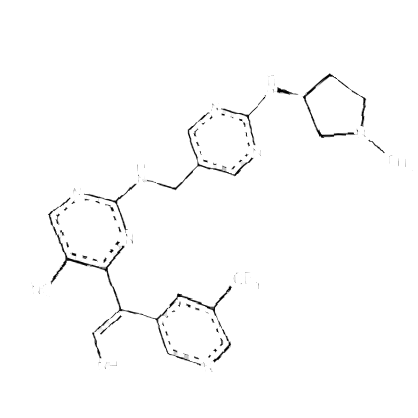 CN1CC[C@H](Nc2ncc(CNc3ncc(C#N)c(/C(=C/N)c4cncc(C(F)(F)F)c4)n3)cn2)C1